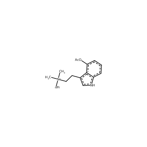 CCC[N+](C)(C)CCc1c[nH]c2cccc(OC(C)=O)c12